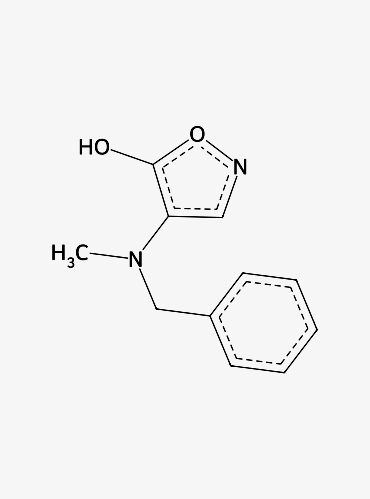 CN(Cc1ccccc1)c1cnoc1O